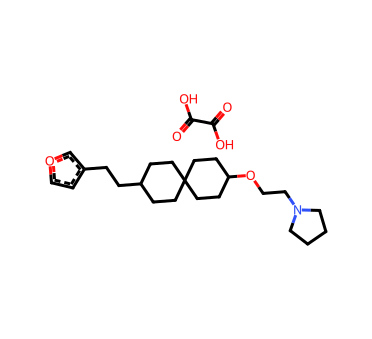 O=C(O)C(=O)O.c1cc(CCC2CCC3(CC2)CCC(OCCN2CCCC2)CC3)co1